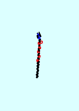 CCCCCCCCCCCCOCCOCCOCCOCCOC(=O)CCN1CCN(C)CC1